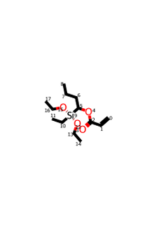 C=CC(=O)OC(CCC)[Si](CC)(OCC)OCC